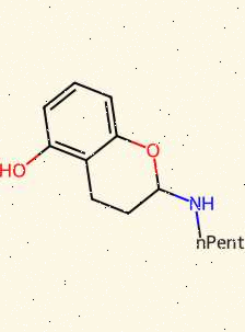 CCCCCNC1CCc2c(O)cccc2O1